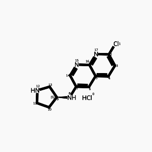 Cl.Clc1ccc2cc(N[C@H]3CCNC3)cnc2n1